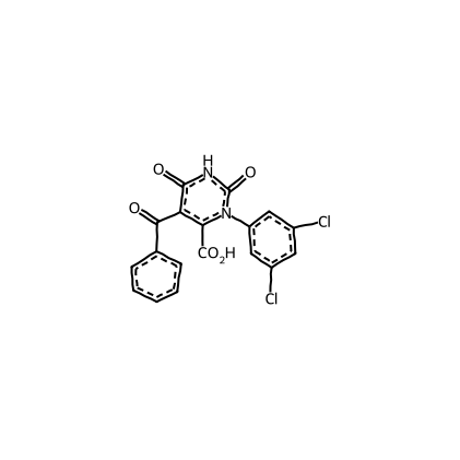 O=C(c1ccccc1)c1c(C(=O)O)n(-c2cc(Cl)cc(Cl)c2)c(=O)[nH]c1=O